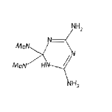 CNC1(NC)N=C(N)N=C(N)N1